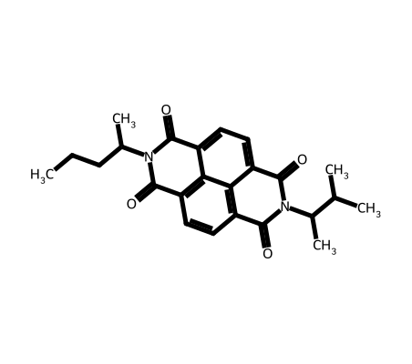 CCCC(C)N1C(=O)c2ccc3c4c(ccc(c24)C1=O)C(=O)N(C(C)C(C)C)C3=O